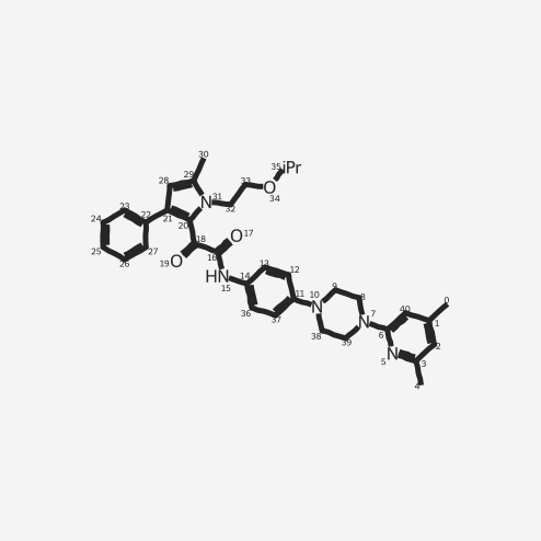 Cc1cc(C)nc(N2CCN(c3ccc(NC(=O)C(=O)c4c(-c5ccccc5)cc(C)n4CCOC(C)C)cc3)CC2)c1